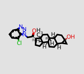 C[C@]12CC[C@@H]3[C@H]4CC[C@]5(O)CC5[C@H]4CC[C@H]3[C@@H]1CC[C@@H]2C(=O)Cn1nnc2cccc(Cl)c21